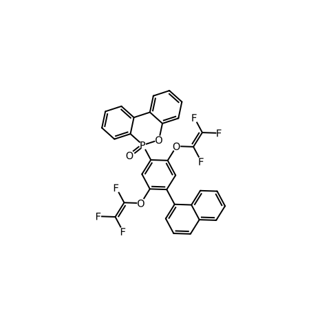 O=P1(c2cc(OC(F)=C(F)F)c(-c3cccc4ccccc34)cc2OC(F)=C(F)F)Oc2ccccc2-c2ccccc21